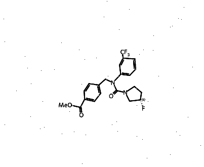 COC(=O)c1ccc(CN(C(=O)N2CC[C@H](F)C2)c2cccc(C(F)(F)F)c2)cc1